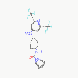 O=C(N[C@H]1CC[C@@H](Nc2cc(C(F)(F)F)nc(C(F)(F)F)c2)CC1)n1cccc1